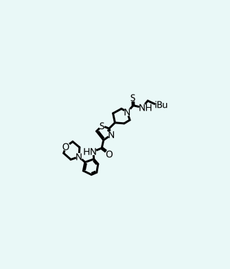 CCC(C)CNC(=S)N1CCC(c2nc(C(=O)Nc3ccccc3N3CCOCC3)cs2)CC1